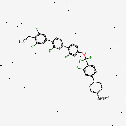 CCCCCC1CCC(c2ccc(C(F)(F)Oc3ccc(-c4ccc(-c5cc(F)c(CC(F)(F)F)c(F)c5)c(F)c4)c(F)c3)c(F)c2)CC1